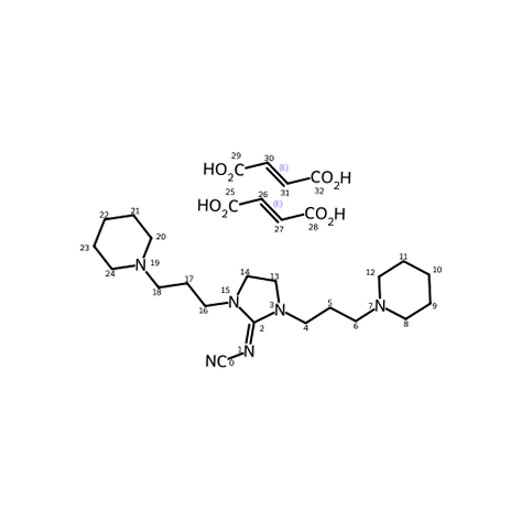 N#CN=C1N(CCCN2CCCCC2)CCN1CCCN1CCCCC1.O=C(O)/C=C/C(=O)O.O=C(O)/C=C/C(=O)O